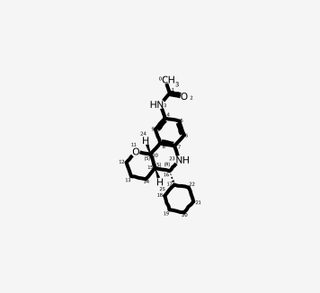 CC(=O)Nc1ccc2c(c1)[C@H]1OCCC[C@H]1[C@@H](C1CCCCC1)N2